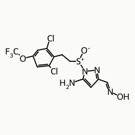 Nc1cc(C=NO)nn1[S+]([O-])CCc1c(Cl)cc(OC(F)(F)F)cc1Cl